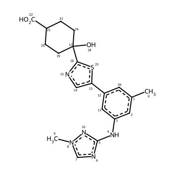 Cc1cc(Nc2ncn(C)n2)cc(-c2cnc(C3(O)CCC(C(=O)O)CC3)s2)c1